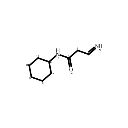 N=CCC(=O)NC1CCCCC1